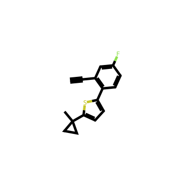 C#Cc1cc(F)ccc1-c1ccc(C2(C)CC2)s1